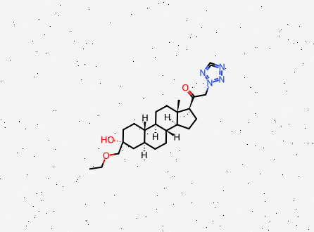 CCOC[C@@]1(O)CC[C@H]2[C@@H](CC[C@@H]3[C@@H]2CC[C@]2(C)[C@@H](C(=O)Cn4ncnn4)CC[C@@H]32)C1